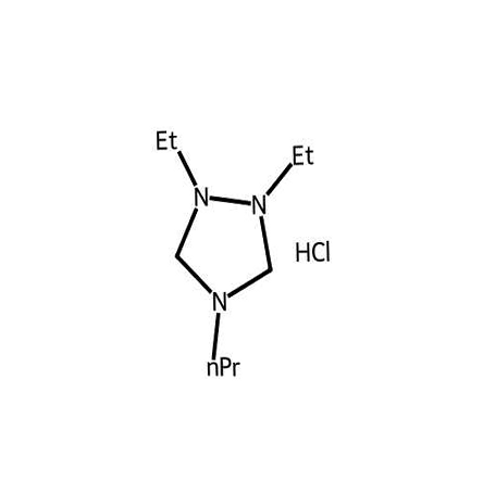 CCCN1CN(CC)N(CC)C1.Cl